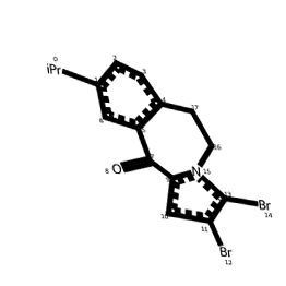 CC(C)c1ccc2c(c1)C(=O)c1cc(Br)c(Br)n1CC2